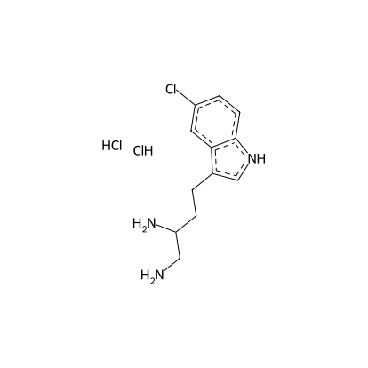 Cl.Cl.NCC(N)CCc1c[nH]c2ccc(Cl)cc12